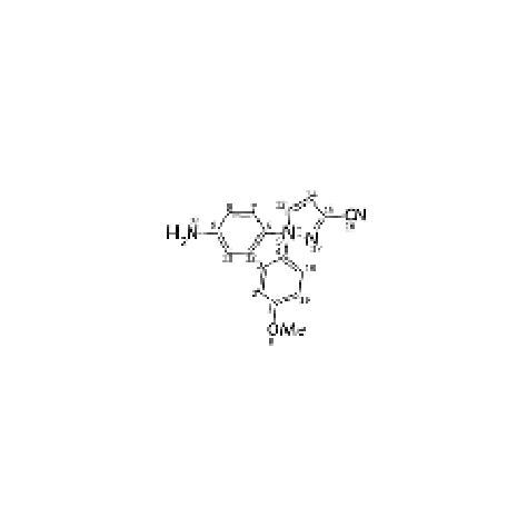 COc1ccc([N+]2(c3ccc(N)cc3)C=CC(C#N)=N2)cc1